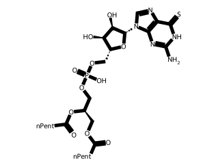 CCCCCC(=O)OC[C@H](COP(=O)(O)OC[C@H]1O[C@@H](n2cnc3c(=S)[nH]c(N)nc32)[C@H](O)[C@@H]1O)OC(=O)CCCCC